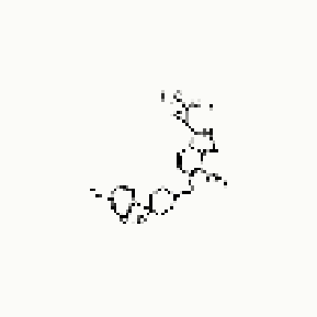 CO[C@]1(c2ccc(F)cc2)CC[C@H](Oc2ccn3c(C4CC4(C)C)nnc3c2C)CC1